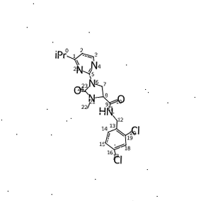 CC(C)c1ccnc(N2CC(C(=O)NCc3ccc(Cl)cc3Cl)N(C)C2=O)n1